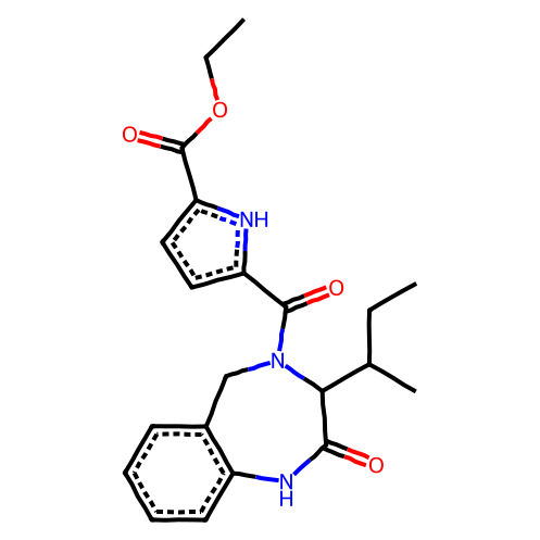 CCOC(=O)c1ccc(C(=O)N2Cc3ccccc3NC(=O)C2C(C)CC)[nH]1